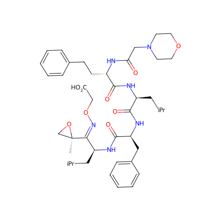 CC(C)C[C@H](NC(=O)[C@H](CCc1ccccc1)NC(=O)CN1CCOCC1)C(=O)N[C@@H](Cc1ccccc1)C(=O)N[C@@H](CC(C)C)/C(=N/OCC(=O)O)[C@@]1(C)CO1